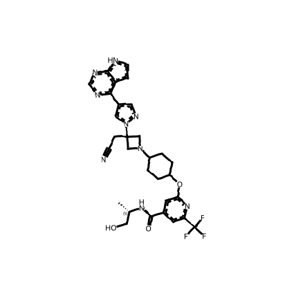 C[C@@H](CO)NC(=O)c1cc(OC2CCC(N3CC(CC#N)(n4cc(-c5ncnc6[nH]ccc56)cn4)C3)CC2)nc(C(F)(F)F)c1